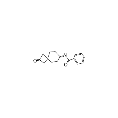 O=C1CC2(CCC(=NC(=O)c3ccccc3)CC2)C1